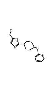 ClCc1nnc([C@H]2CC[C@H](Oc3ccccn3)CC2)o1